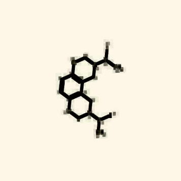 BP(I)N1COc2ccc3c(c2C1)CN(B(P)I)CO3